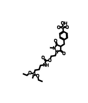 CCO[Si](C)(CCCNC(=O)OCCN1C(=O)C(Cc2ccc(S(=O)(=O)O)cc2)C(=O)N1C)OCC